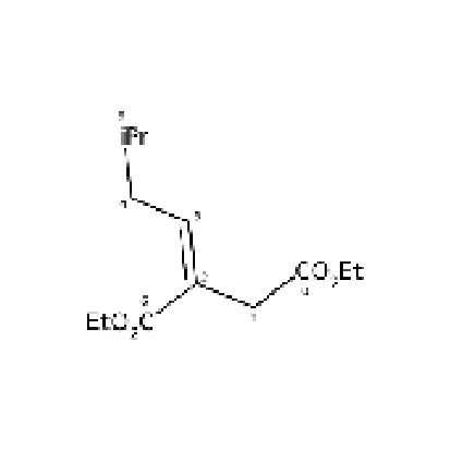 CCOC(=O)CC(=CCC(C)C)C(=O)OCC